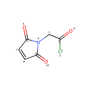 O=C(Cl)CN1C(=O)C=CC1=O